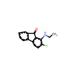 CCNc1c(F)ccc2c1C(=O)c1ccccc1-2